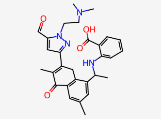 CC1=C(c2cc(C=O)n(CCN(C)C)n2)Cc2c(cc(C)cc2C(C)Nc2ccccc2C(=O)O)C1=O